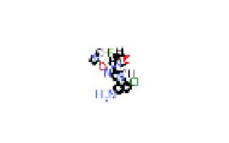 C#Cc1c(Cl)ccc2cc(N)cc(-c3ncc4c(N5CCOC[C@H]6[C@H](F)[C@H]65)nc(OC[C@@H]5CCCN5C)nc4c3F)c12